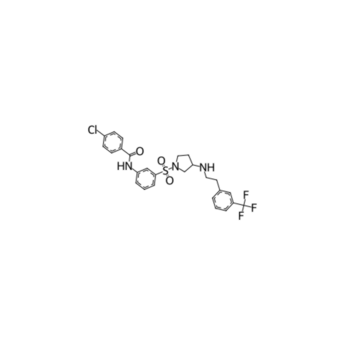 O=C(Nc1cccc(S(=O)(=O)N2CCC(NCCc3cccc(C(F)(F)F)c3)C2)c1)c1ccc(Cl)cc1